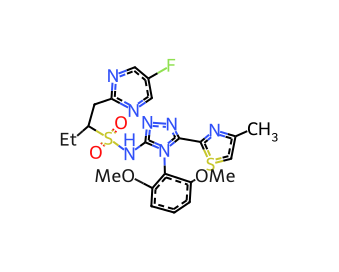 CCC(Cc1ncc(F)cn1)S(=O)(=O)Nc1nnc(-c2nc(C)cs2)n1-c1c(OC)cccc1OC